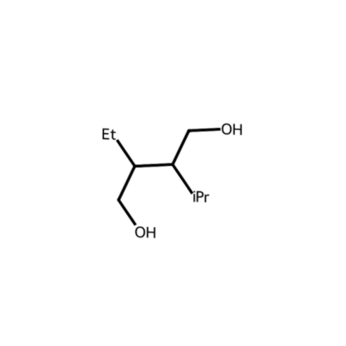 CCC(CO)C(CO)C(C)C